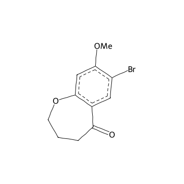 COc1cc2c(cc1Br)C(=O)CCCO2